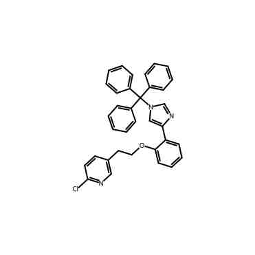 Clc1ccc(CCOc2ccccc2-c2cn(C(c3ccccc3)(c3ccccc3)c3ccccc3)cn2)cn1